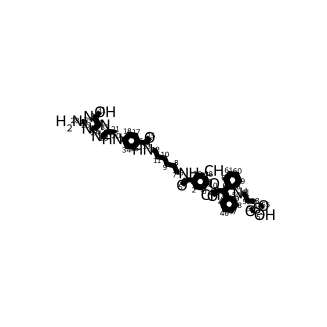 Cc1cc(C(=O)NCCCCCCNC(=O)c2ccc(NCc3cnc4nc(N)nc(O)c4n3)cc2)cc(C)c1OC(=O)c1c2ccccc2[n+](CCCS(=O)(=O)O)c2ccccc12